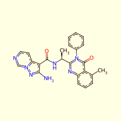 Cc1cccc2nc([C@H](C)NC(=O)c3c(N)nn4cnccc34)n(-c3ccccc3)c(=O)c12